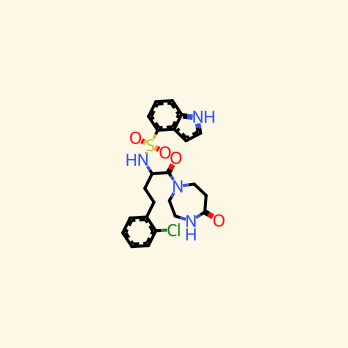 O=C1CCN(C(=O)C(CCc2ccccc2Cl)NS(=O)(=O)c2cccc3[nH]ccc23)CCN1